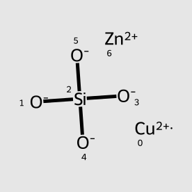 [Cu+2].[O-][Si]([O-])([O-])[O-].[Zn+2]